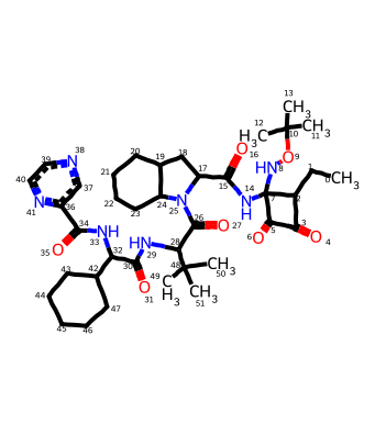 CCC1C(=O)C(=O)C1(NOC(C)(C)C)NC(=O)C1CC2CCCCC2N1C(=O)C(NC(=O)C(NC(=O)c1cnccn1)C1CCCCC1)C(C)(C)C